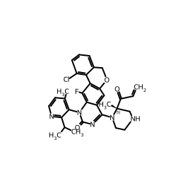 C=CC(=O)[C@]1(C)CNCCN1c1nc(=O)n(-c2c(C)ccnc2C(C)C)c2c(F)c3c(cc12)OCc1cccc(Cl)c1-3